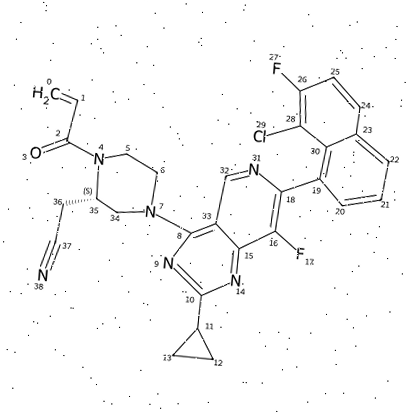 C=CC(=O)N1CCN(c2nc(C3CC3)nc3c(F)c(-c4cccc5ccc(F)c(Cl)c45)ncc23)C[C@@H]1CC#N